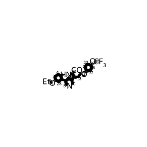 CCOc1cccc(-c2cncc3c(CCOc4ccc(OC(F)(F)F)cc4)c(C(=O)O)[nH]c23)c1